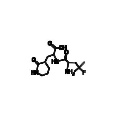 CC(C)(F)CC(N)C(=O)NC(CC1CCCNC1=O)C(=O)O